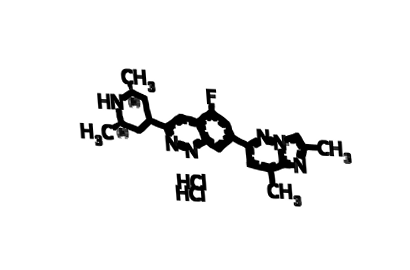 Cc1cn2nc(-c3cc(F)c4cc(C5C[C@@H](C)N[C@H](C)C5)nnc4c3)cc(C)c2n1.Cl.Cl